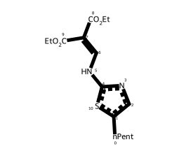 CCCCCc1cnc(NC=C(C(=O)OCC)C(=O)OCC)s1